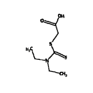 CCN(CC)C(=S)SCC(=O)O